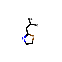 CCCCC(CC)CC1=NCCS1